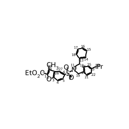 CCOC(=O)c1oc2ccc(S(=O)(=O)N(CCc3ccccc3)Cc3ccc(C(C)C)cc3)cc2c1C